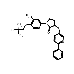 Cc1cc(N2CCC(Oc3ccc(-c4ccccc4)nc3)C2=O)ccc1OCC(C)(C)O